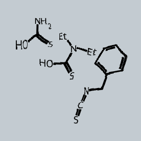 CCN(CC)C(O)=S.NC(O)=S.S=C=NCc1ccccc1